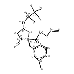 C=CCOC(=O)[C@@]1(Cc2ccnc(C)c2)C[C@@H](O[Si](C)(C)C(C)(C)C)C[NH+]1[O-]